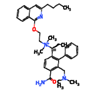 CCCCc1cc2ccccc2c(OCC[N+](C)(C)[C@@H](CC)c2ccc(C(N)=O)c(CN(C)C)c2-c2ccccc2)n1